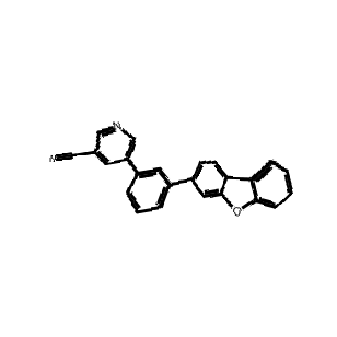 N#Cc1cncc(-c2cccc(-c3ccc4c(c3)oc3ccccc34)c2)c1